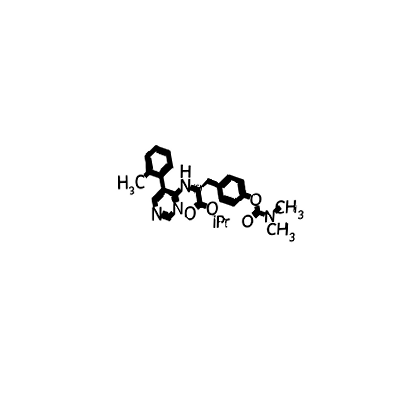 Cc1ccccc1-c1cncnc1N[C@@H](Cc1ccc(OC(=O)N(C)C)cc1)C(=O)OC(C)C